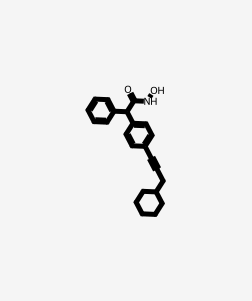 O=C(NO)C(c1ccccc1)c1ccc(C#CCC2CCCCC2)cc1